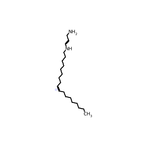 CCCCCCCC/C=C\CCCCCCCCNC=CCN